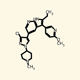 CCc1[nH]c2ncc(-c3cn(C4CCN(C)CC4)nc3Cl)cc2c1-c1ccc(OC)nc1